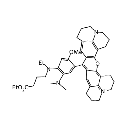 CCOC(=O)CCCN(CC)c1cc(OC)c(C2=c3cc4c5c(c3Oc3c2cc2c6c3CCCN6CCC2)CCC[N+]=5CCC4)cc1N(C)C